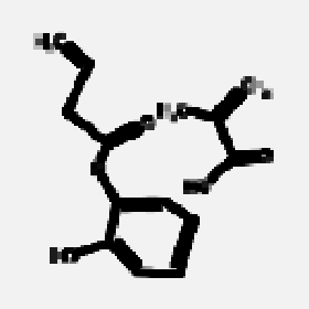 C=C(C)C(=O)O.C=CCC(=O)Oc1ccccc1O